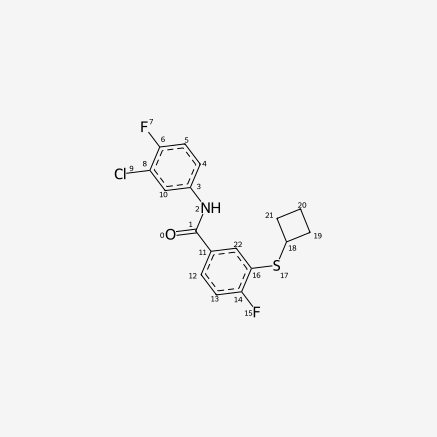 O=C(Nc1ccc(F)c(Cl)c1)c1ccc(F)c(SC2CCC2)c1